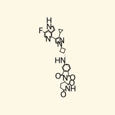 O=C1CCC(N2C(=O)c3ccc(NC[C@H]4C[C@H](n5cc(-c6ncc(F)c7[nH]ccc67)c(C6CC6)n5)C4)cc3C2=O)C(=O)N1